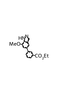 CCOC(=O)c1cccc(-c2cc(OC)c3[nH]ncc3c2)c1